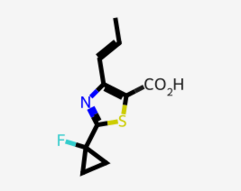 C/C=C/c1nc(C2(F)CC2)sc1C(=O)O